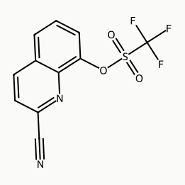 N#Cc1ccc2cccc(OS(=O)(=O)C(F)(F)F)c2n1